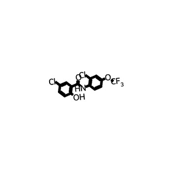 O=C(Nc1ccc(OC(F)(F)F)cc1Cl)c1cc(Cl)ccc1O